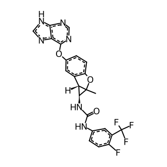 CC12Oc3ccc(Oc4ncnc5[nH]cnc45)cc3[C@H]1[C@@H]2NC(=O)Nc1ccc(F)c(C(F)(F)F)c1